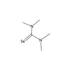 CN(C)C(=[Se])N(C)C